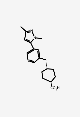 Cc1cc(-c2cncc(C[C@H]3CC[C@H](C(=O)O)CC3)c2)n(C)n1